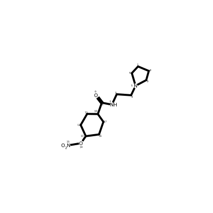 O=C(NCCN1CCCC1)C1CCC(O[N+](=O)[O-])CC1